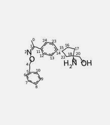 CC(=NOCc1ccccc1)c1ccc([C@@H]2CC[C@](N)(CO)C2)cc1